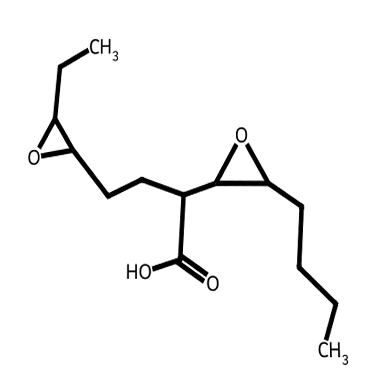 CCCCC1OC1C(CCC1OC1CC)C(=O)O